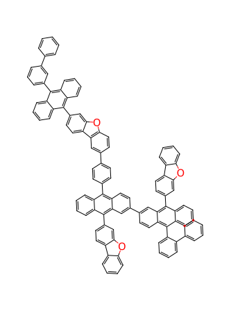 c1ccc(-c2cccc(-c3c4ccccc4c(-c4ccc5c(c4)oc4ccc(-c6ccc(-c7c8ccccc8c(-c8ccc9c(c8)oc8ccccc89)c8cc(-c9ccc%10c(-c%11ccccc%11-c%11ccccc%11)c%11ccccc%11c(-c%11ccc%12c(c%11)oc%11ccccc%11%12)c%10c9)ccc78)cc6)cc45)c4ccccc34)c2)cc1